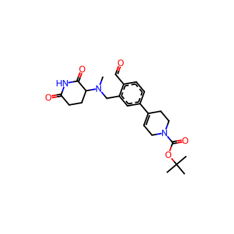 CN(Cc1cc(C2=CCN(C(=O)OC(C)(C)C)CC2)ccc1C=O)C1CCC(=O)NC1=O